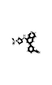 C[S+]([O-])N1CC[C@H](Nc2cc(-c3cccc(C#N)c3)cc3ccncc23)C1